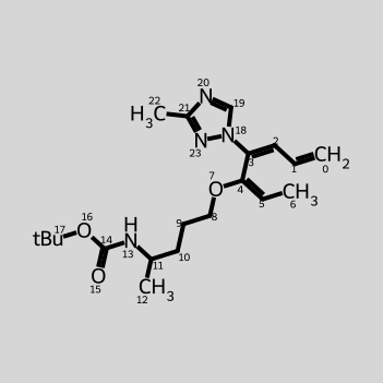 C=C/C=C(\C(=C/C)OCCCC(C)NC(=O)OC(C)(C)C)n1cnc(C)n1